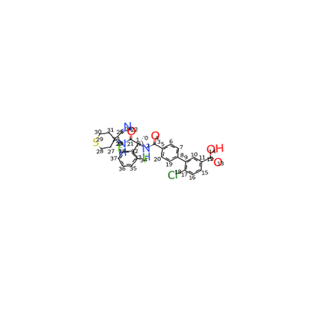 C[C@@](NC(=O)c1ccc(-c2cc(C(=O)O)ccc2Cl)cc1)(C(=O)NC1(C#N)CCSCC1)c1c(F)cccc1F